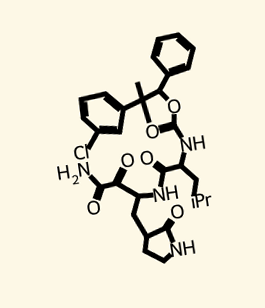 CC(C)CC(NC(=O)OC(c1ccccc1)C(C)(C)c1cccc(Cl)c1)C(=O)NC(CC1CCNC1=O)C(=O)C(N)=O